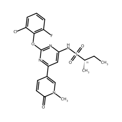 CC[C@H](C)S(=O)(=O)Nc1cc(-c2ccc(=O)n(C)c2)nc(Oc2c(F)cccc2Cl)n1